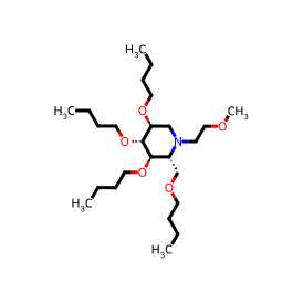 CCCCOC[C@@H]1[C@@H](OCCCC)[C@H](OCCCC)[C@@H](OCCCC)CN1CCOC